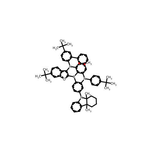 Cc1cc2c3c(c1)N(c1ccc(C(C)(C)C)cc1-c1ccccc1)c1c(oc4cc(C(C)(C)C)ccc14)B3c1ccc(N3c4ccccc4C4(C)CCCCC34C)cc1N2c1ccc(C(C)(C)C)cc1